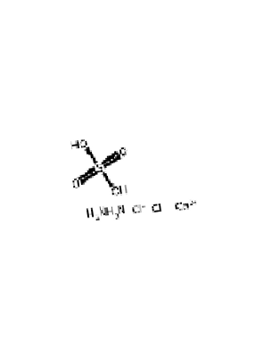 N.N.O=S(=O)(O)O.[Ca+2].[Cl-].[Cl-]